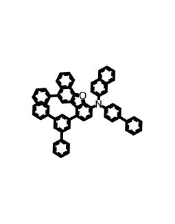 c1ccc(-c2ccc(N(c3ccc4ccccc4c3)c3ccc(-c4cc(-c5ccccc5)cc(-c5ccccc5)c4)c4c3oc3c5ccccc5c(-c5ccccc5)cc34)cc2)cc1